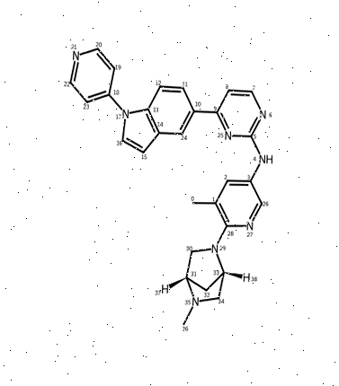 Cc1cc(Nc2nccc(-c3ccc4c(ccn4-c4ccncc4)c3)n2)cnc1N1C[C@@H]2C[C@H]1CN2C